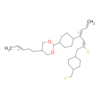 C=C/C=C(\C=C(\F)CC1CCC(CF)CC1)C1CCC(C2OCC(CC/C=C/C)CO2)CC1